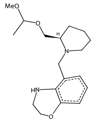 COC(C)OC[C@H]1CCCCN1Cc1cccc2c1NCCO2